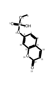 COP(=O)(O)Oc1ccc2ccc(=O)oc2c1